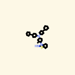 Cc1cc(N(c2ccc(-c3ccccc3)cc2)c2ccc(-c3ccccc3)cc2)ccc1-n1c(=N)sc2ccccc21